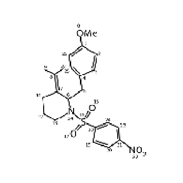 COc1ccc(CC2C(=C(C)C)CCCN2S(=O)(=O)c2ccc([N+](=O)[O-])cc2)cc1